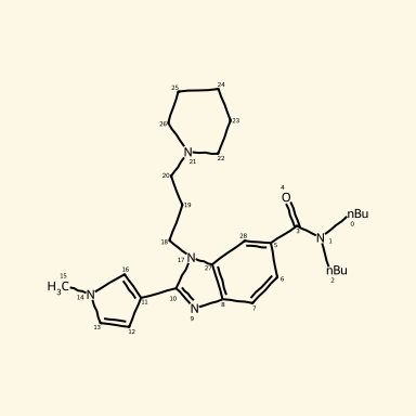 CCCCN(CCCC)C(=O)c1ccc2nc(-c3ccn(C)c3)n(CCCN3CCCCC3)c2c1